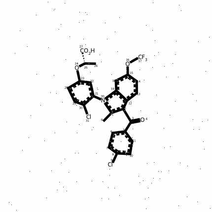 Cc1c(C(=O)c2ccc(Cl)cc2)c2ccc(OC(F)(F)F)cc2n1-c1cc(O[C@@H](C)C(=O)O)ccc1Cl